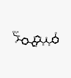 O=C(O)CNC(=O)c1ccc(-c2csc3c(NC(=O)Nc4cccc(Cl)c4)ncnc23)cc1